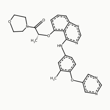 Cc1cc(Nc2ncnc3cccc(O[C@H](C)C(=O)N4CCOCC4)c23)ccc1Oc1cncnc1